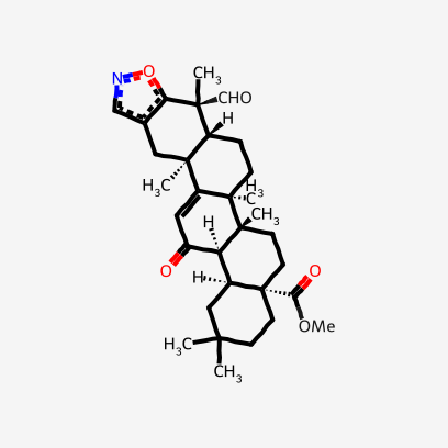 COC(=O)[C@]12CCC(C)(C)C[C@H]1[C@H]1C(=O)C=C3[C@@]4(C)Cc5cnoc5[C@@](C)(C=O)[C@@H]4CC[C@@]3(C)[C@]1(C)CC2